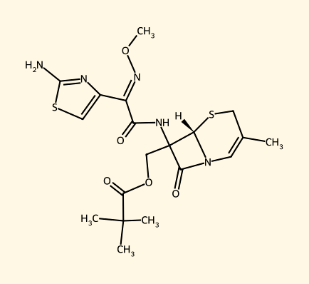 CON=C(C(=O)NC1(COC(=O)C(C)(C)C)C(=O)N2C=C(C)CS[C@H]21)c1csc(N)n1